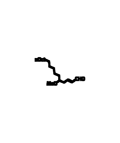 CCCCCCCCCCCCCC(C/C=C/C=O)OC